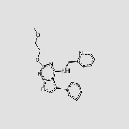 COCCOc1nc(NCc2ccccn2)c2c(-c3ccccc3)coc2n1